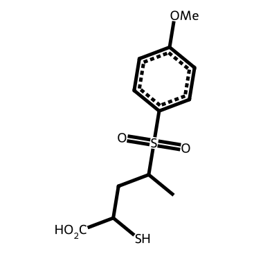 COc1ccc(S(=O)(=O)C(C)CC(S)C(=O)O)cc1